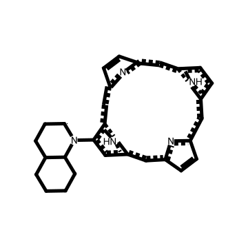 [CH]1CCC2CCCCC2N1c1cc2cc3nc(cc4ccc(cc5nc(cc1[nH]2)C=C5)[nH]4)C=C3